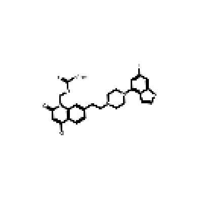 CCCCCC(=O)OCn1c(=O)cc(Cl)c2ccc(CCN3CCN(c4cc(F)cc5sccc45)CC3)cc21